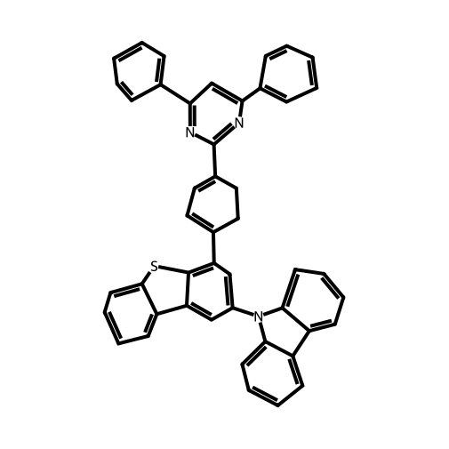 C1=C(c2nc(-c3ccccc3)cc(-c3ccccc3)n2)CCC(c2cc(-n3c4ccccc4c4ccccc43)cc3c2sc2ccccc23)=C1